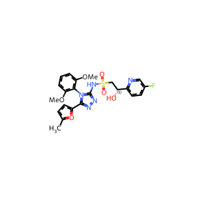 COc1cccc(OC)c1-n1c(NS(=O)(=O)C[C@@H](O)c2ccc(F)cn2)nnc1-c1ccc(C)o1